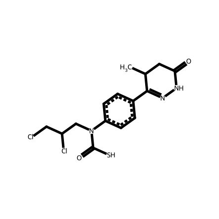 CC1CC(=O)NN=C1c1ccc(N(CC(Cl)CCl)C(=O)S)cc1